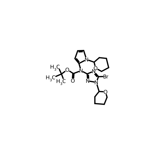 CC(C)(C)OC(=O)N(c1nc(Br)n(C2CCCCO2)n1)c1cccn1C1CCCCO1